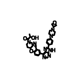 CC(O)C(=O)N1CCC(Oc2ccc(-c3ncnc4[nH]c(-c5ccc(N6CCN(C7COC7)CC6)cc5)nc34)cc2C#N)CC1